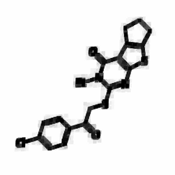 CCn1c(SCC(=O)c2ccc(Cl)cc2)nc2sc3c(c2c1=O)CCC3